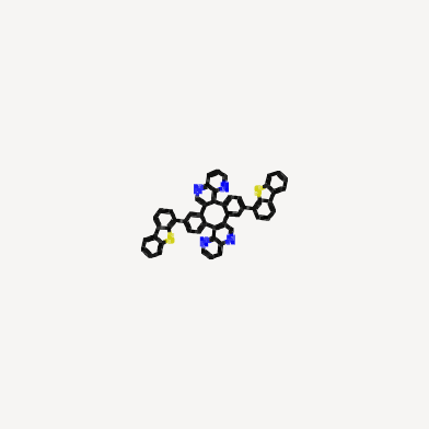 c1cnc2c3c(cnc2c1)-c1cc(-c2cccc4c2sc2ccccc24)ccc1-c1c(cnc2cccnc12)-c1cc(-c2cccc4c2sc2ccccc24)ccc1-3